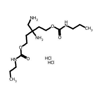 CCCNC(=O)OCCC(N)(CN)CCOC(=O)NCCC.Cl.Cl